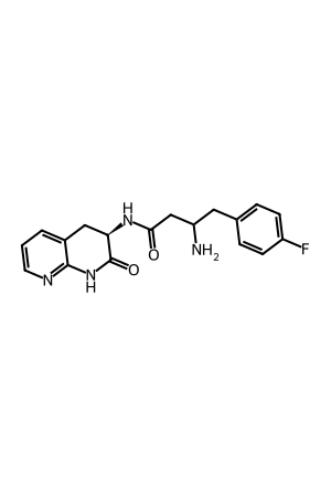 NC(CC(=O)N[C@@H]1Cc2cccnc2NC1=O)Cc1ccc(F)cc1